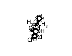 CC(C)(c1nc(O)c2c(-c3cc(Cl)cc(Cl)c3)coc2n1)C1CCCCC1